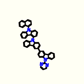 c1cnc(-n2c3ccccc3c3cc(-c4ccc5c(c4)c4ccccc4n5-c4cccc5c4c4ccccc4n5-c4cccc5ccccc45)ccc32)nc1